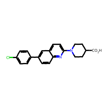 O=C(O)C1CCN(c2ccc3cc(-c4ccc(Cl)cc4)ccc3n2)CC1